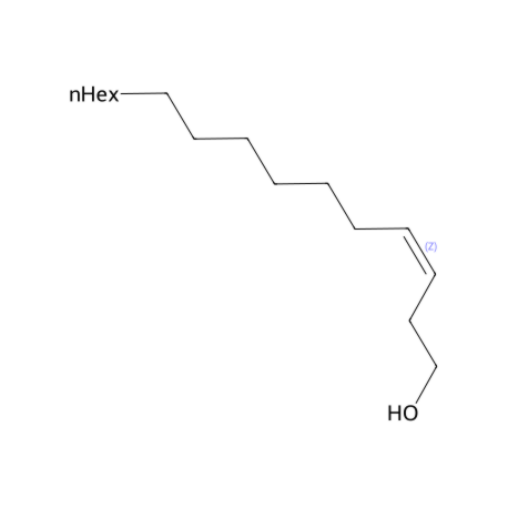 CCCCCCCCCCCC/C=C\CCO